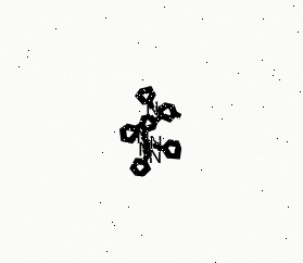 Cc1ccc2c(c1)c1cc3c(cc1n2-c1ccccc1)c1ccccc1n3-c1nc(-c2ccccc2)nc(-c2ccccc2)n1